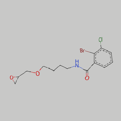 O=C(NCCCCOCC1CO1)c1cccc(Cl)c1Br